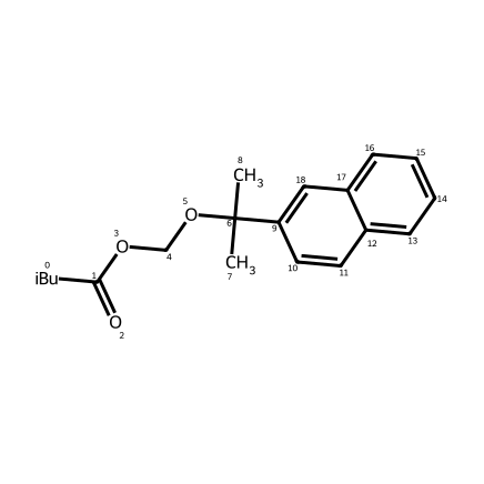 CCC(C)C(=O)OCOC(C)(C)c1ccc2ccccc2c1